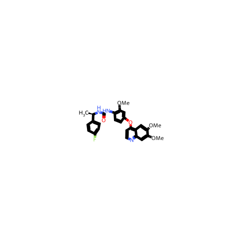 COc1cc(Oc2ccnc3cc(OC)c(OC)cc23)ccc1NC(=O)N[C@H](C)c1ccc(F)cc1